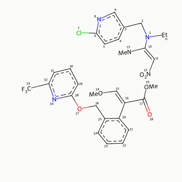 CCN(Cc1ccc(Cl)nc1)/C(=C/[N+](=O)[O-])NC.CO/C=C(/C(=O)OC)c1ccccc1COc1cccc(C(F)(F)F)n1